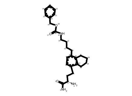 NC(=O)[C@@H](N)CCc1ccc(CCCCNC(=O)OCc2ccccc2)c2c1CCCC2